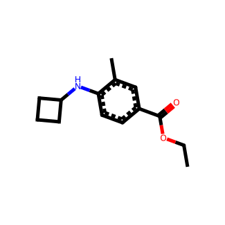 CCOC(=O)c1ccc(NC2CCC2)c(C)c1